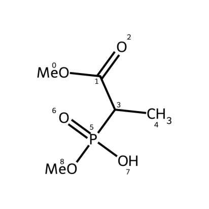 COC(=O)C(C)P(=O)(O)OC